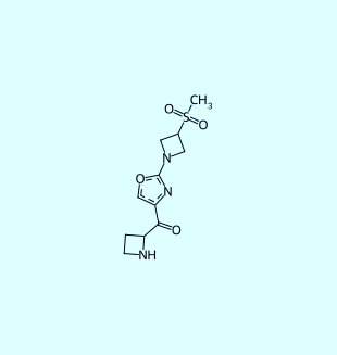 CS(=O)(=O)C1CN(c2nc(C(=O)C3CCN3)co2)C1